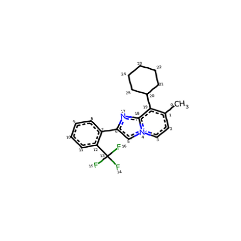 Cc1ccn2[c]c(-c3ccccc3C(F)(F)F)nc2c1C1CCCCC1